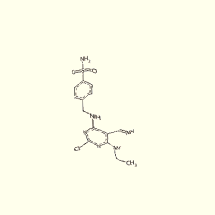 CCNc1nc(Cl)nc(NCc2ccc(S(N)(=O)=O)cc2)c1C=N